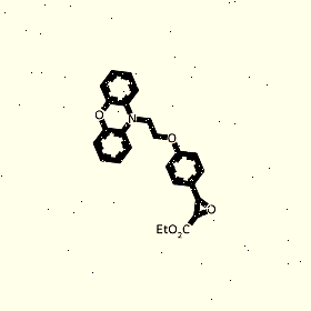 CCOC(=O)C1OC1c1ccc(OCCN2c3ccccc3Oc3ccccc32)cc1